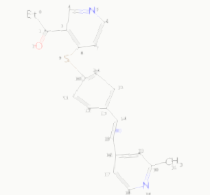 CCC(=O)c1cnccc1Sc1ccc(/C=C/c2ccnc(C)c2)cc1